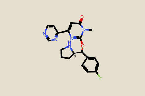 Cn1c(OC(c2ccc(F)cc2)[C@H]2CCCN2)nc(-c2ccncn2)cc1=O